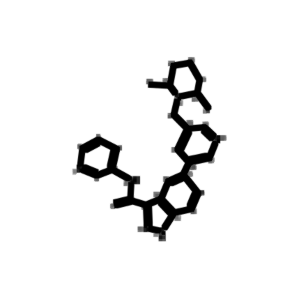 C=C(Nc1cccnc1)c1n[nH]c2ccc(-c3cncc(CN4C(C)CCCC4C)c3)cc12